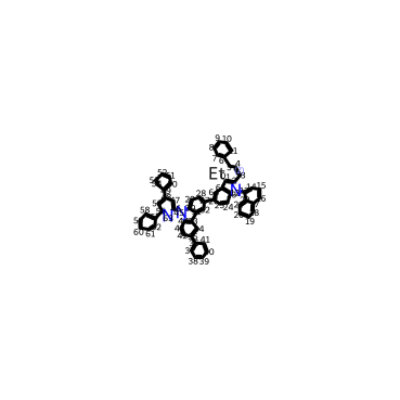 CCc1c(/C=C\Cc2ccccc2)n(-c2cccc3ccccc23)c2ccc(-c3ccc4c(c3)c3cc(-c5ccccc5)ccc3n4-c3cc(-c4ccccc4)cc(-c4ccccc4)n3)cc12